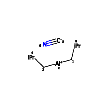 CC(C)[CH2][Al+][CH2]C(C)C.[C-]#N